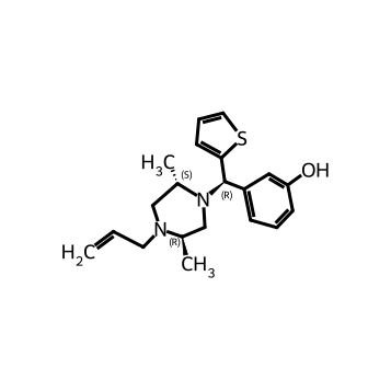 C=CCN1C[C@H](C)N([C@H](c2cccc(O)c2)c2cccs2)C[C@H]1C